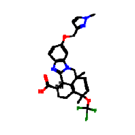 Cn1ccc(COc2ccc3nc4n(c3c2)CC2(C)C=CC(C)(OC(F)(F)F)C3=C2[C@H]4[C@H](C(=O)O)CC3)n1